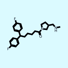 CNCC1CCN(C(=O)CCCCC(c2ccc(F)cc2)c2ccc(F)cc2)C1